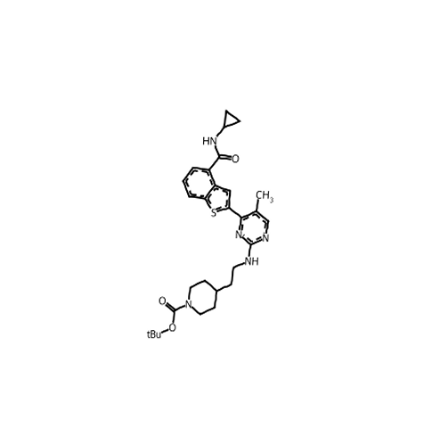 Cc1cnc(NCCC2CCN(C(=O)OC(C)(C)C)CC2)nc1-c1cc2c(C(=O)NC3CC3)cccc2s1